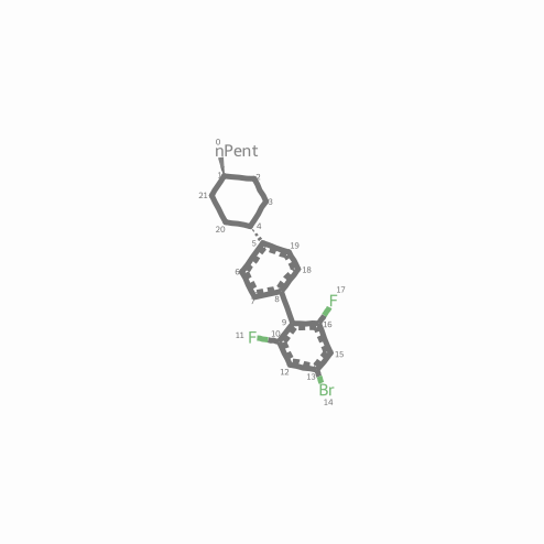 CCCCC[C@H]1CC[C@H](c2ccc(-c3c(F)cc(Br)cc3F)cc2)CC1